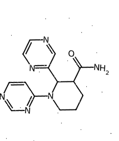 NC(=O)C1CCCN(c2ccncn2)C1c1cnccn1